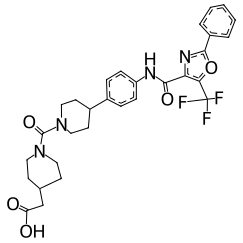 O=C(O)CC1CCN(C(=O)N2CCC(c3ccc(NC(=O)c4nc(-c5ccccc5)oc4C(F)(F)F)cc3)CC2)CC1